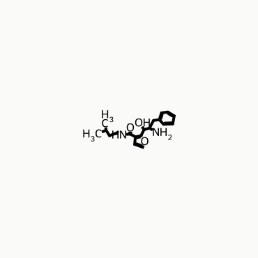 CC(C)CCNC(=O)c1ccoc1C(O)C(N)Cc1ccccc1